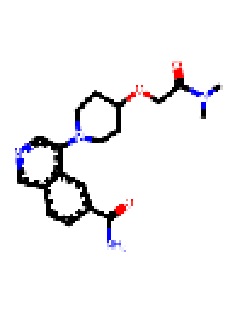 CN(C)C(=O)COC1CCN(c2cncc3ccc(C(N)=O)cc23)CC1